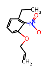 C=CCOc1cccc(CC)c1[N+](=O)[O-]